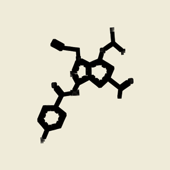 C#CCn1nc(NC(=O)c2ccc(F)cc2)c2cc(C(C)=O)cc(OC(F)F)c21